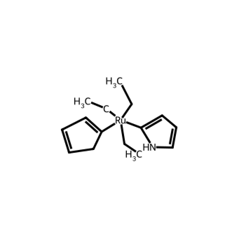 C[CH2][Ru]([CH2]C)([CH2]C)([C]1=CC=CC1)[c]1ccc[nH]1